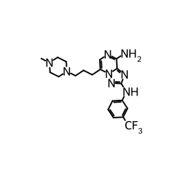 CN1CCN(CCCc2cnc(N)c3nc(Nc4cccc(C(F)(F)F)c4)nn23)CC1